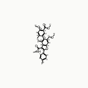 CNC(=O)c1c(-c2ccc(F)cc2)oc2cc(COC)c(-c3cc(C(=O)OC)c(OC)cc3C)c(F)c12